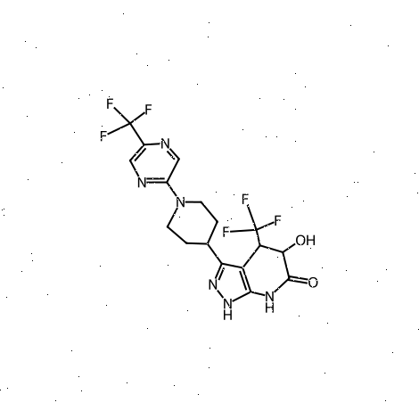 O=C1Nc2[nH]nc(C3CCN(c4cnc(C(F)(F)F)cn4)CC3)c2C(C(F)(F)F)C1O